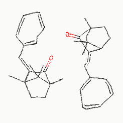 CC12CCC(C(=Cc3ccccc3)C1=O)C2(C)C.CC12CCC(C)(C(=Cc3ccccc3)C1=O)C2(C)C